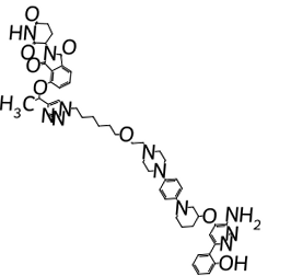 CC(Oc1cccc2c1C(=O)N(C1CCC(=O)NC1=O)C2=O)c1cn(CCCCCCOCCN2CCN(c3ccc(N4CCC[C@H](Oc5cc(-c6ccccc6O)nnc5N)C4)cc3)CC2)nn1